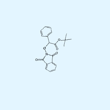 CC(C)(C)OC(=O)C(ON1C(=O)c2ccccc2C1=O)c1ccccc1